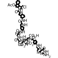 CC(=O)Oc1cc2c(c3ccccc13)C(CCl)CN2C(=O)c1cc2cc(NC(=O)c3cc4cc(NC(=O)C(F)(F)CNC(=O)[C@H](CC(=O)O)NC(=O)[C@H](CC(=O)O)NC(=O)C[C@H](NC(=O)c5ccc(NCc6cnc7nc(N)[nH]c(=O)c7n6)cc5)C(=O)O)ccc4[nH]3)ccc2[nH]1